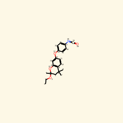 CCOC1(C)CC(C)(C)c2ccc(Oc3ccc(N=C=O)cc3)cc2O1